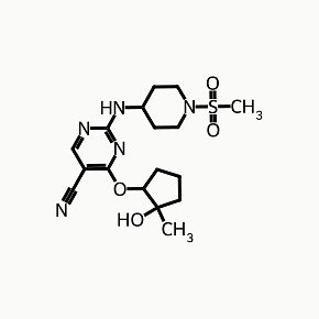 CC1(O)CCCC1Oc1nc(NC2CCN(S(C)(=O)=O)CC2)ncc1C#N